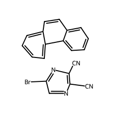 N#Cc1ncc(Br)nc1C#N.c1ccc2c(c1)ccc1ccccc12